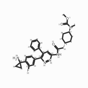 COC(=O)N(C)[C@H]1CC[C@H](CC(=O)Nc2cc(-c3ccccc3)c(-c3ccc(C4(N)CC4)c(F)c3)nn2)CC1